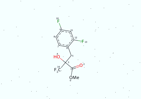 COC(=O)C(O)(Cc1ccc(F)cc1F)C(F)(F)F